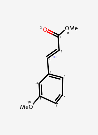 COC(=O)/C=C/c1cc[c]c(OC)c1